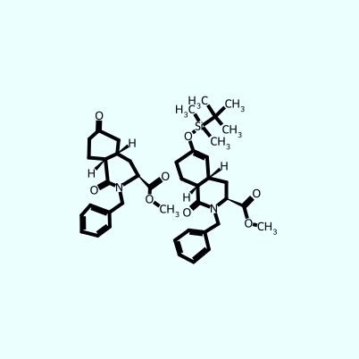 COC(=O)[C@@H]1C[C@H]2C=C(O[Si](C)(C)C(C)(C)C)CC[C@H]2C(=O)N1Cc1ccccc1.COC(=O)[C@@H]1C[C@H]2CC(=O)CC[C@H]2C(=O)N1Cc1ccccc1